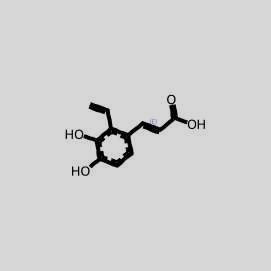 C=Cc1c(/C=C/C(=O)O)ccc(O)c1O